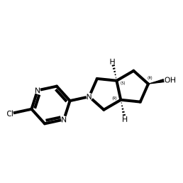 O[C@@H]1C[C@@H]2CN(c3cnc(Cl)cn3)C[C@@H]2C1